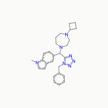 Cn1ccc2cc(C(c3nnnn3Cc3ccccc3)N3CCCN(C4CCC4)CC3)ccc21